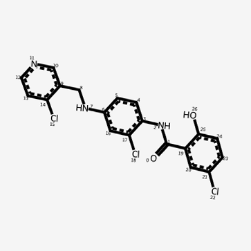 O=C(Nc1ccc(NCc2cnccc2Cl)cc1Cl)c1cc(Cl)ccc1O